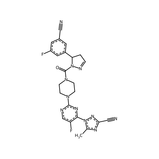 Cc1nc(C#N)nn1-c1nc(N2CCN(C(=O)N3N=CCC3c3cc(F)cc(C#N)c3)CC2)ncc1F